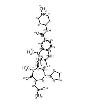 C=C(/N=C1\C(=C/N)N(C)C(=O)C(CC(N)=O)CN1C1CCCC1)Nc1ccc(C(=O)NC2CCN(C)CC2)cc1OC